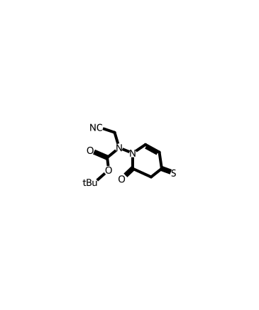 CC(C)(C)OC(=O)N(CC#N)N1C=CC(=S)CC1=O